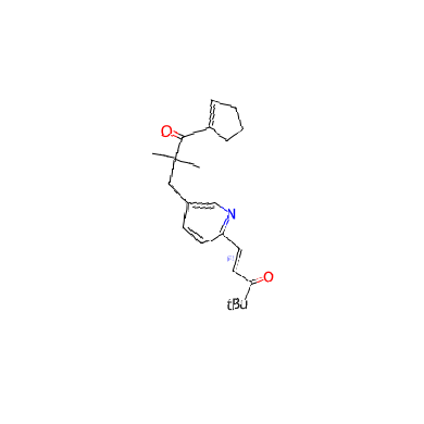 CC(C)(C)C(=O)/C=C/c1ccc(CC(C)(C)C(=O)C2=CCCC2)cn1